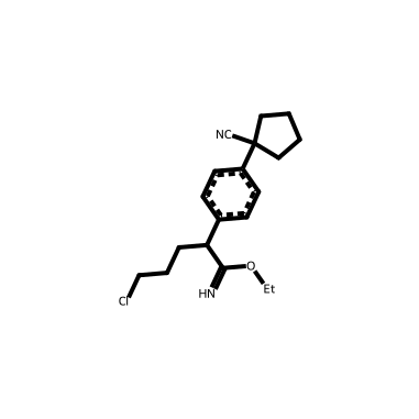 CCOC(=N)C(CCCCl)c1ccc(C2(C#N)CCCC2)cc1